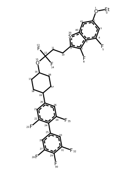 CCOc1cc(F)c2c(F)c(CCC(F)(F)OC3CCC(c4cc(F)c(-c5cc(F)c(F)c(F)c5)c(F)c4)CC3)sc2c1